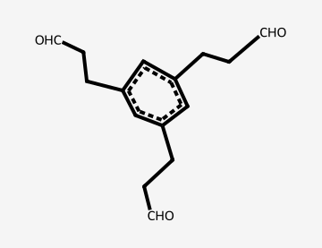 O=CCCc1cc(CCC=O)cc(CCC=O)c1